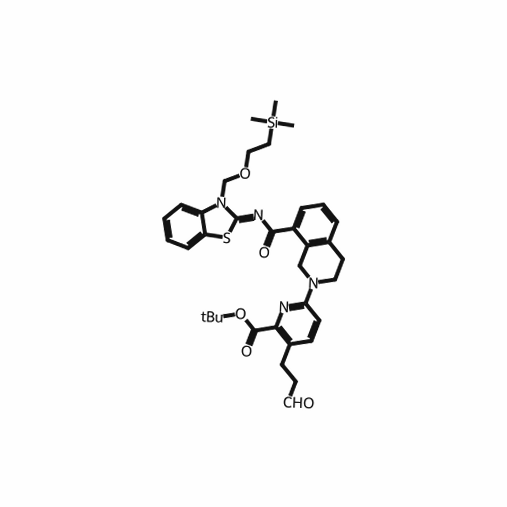 CC(C)(C)OC(=O)c1nc(N2CCc3cccc(C(=O)/N=c4\sc5ccccc5n4COCC[Si](C)(C)C)c3C2)ccc1CCC=O